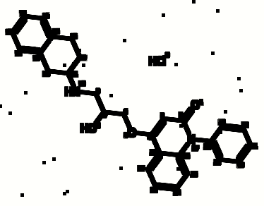 Cl.O=c1cc(OCC(O)CNC2CCc3ccccc3C2)c2ccccc2n1-c1ccccc1